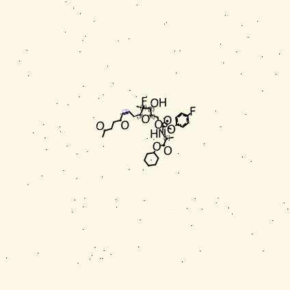 CC(=O)CCC(=O)/C=C\C[C@@H]1O[C@H](COP(=O)(N[C@@H](C)C(=O)OC2CCCCC2)Oc2ccc(F)cc2)[C@@H](O)[C@@]1(C)F